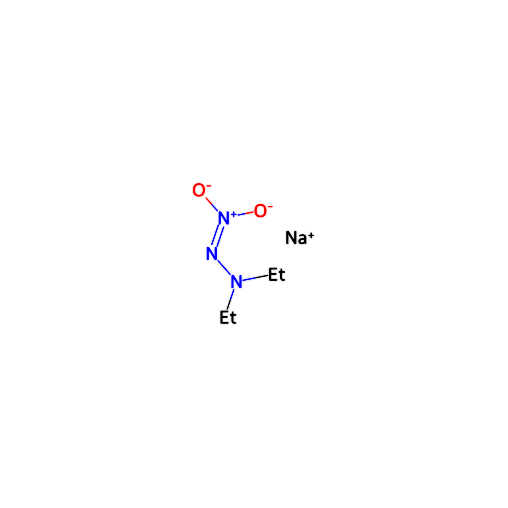 CCN(CC)N=[N+]([O-])[O-].[Na+]